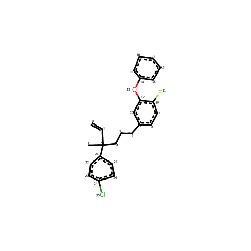 C=CC(C)(CCCc1ccc(F)c(Oc2ccccc2)c1)c1ccc(Cl)cc1